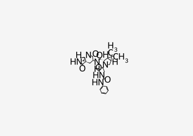 CC1(C)[C@@H]2[C@@H](C(=O)NC(C[C@@H]3CCNC3=O)C(N)=O)N(C(=O)CNC(=O)Nc3ccccc3)C[C@@H]21